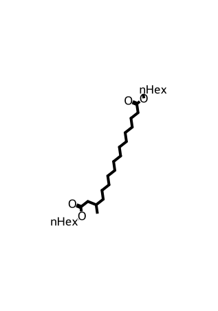 CCCCCCOC(=O)CCCCCCCCCCCCCC(C)CC(=O)OCCCCCC